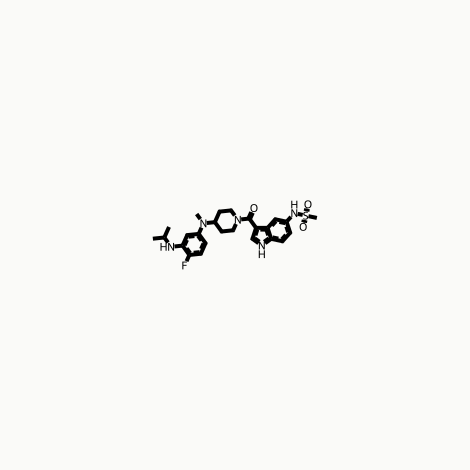 CC(C)Nc1cc(N(C)C2CCN(C(=O)c3c[nH]c4ccc(NS(C)(=O)=O)cc34)CC2)ccc1F